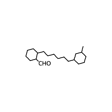 CC1CCCC(CCCCCCC2CCCCC2C=O)C1